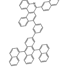 c1cc(-c2ccc3c(-c4cccc5ccccc45)c4ccccc4c(-c4cccc5ccccc45)c3c2)cc(-c2cc3c(-c4ccc5ccccc5c4)nc4ccccc4c3c3ccccc23)c1